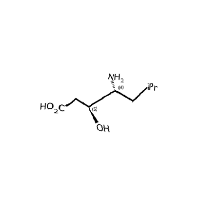 CC(C)C[C@@H](N)[C@@H](O)CC(=O)O